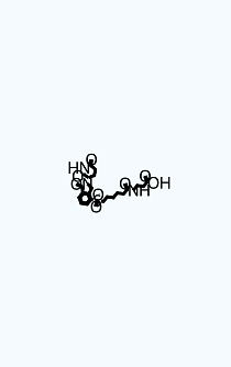 O=C(O)CCNC(=O)CCCCCS(=O)(=O)c1cccc2c1CN(C1CCC(=O)NC1=O)C2=O